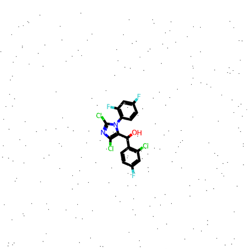 OC(c1ccc(F)cc1Cl)c1c(Cl)nc(Cl)n1-c1ccc(F)cc1F